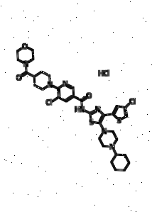 Cl.O=C(Nc1nc(-c2cc(Cl)cs2)c(N2CCN(C3CCCCC3)CC2)s1)c1cnc(N2CCC(C(=O)N3CCOCC3)CC2)c(Cl)c1